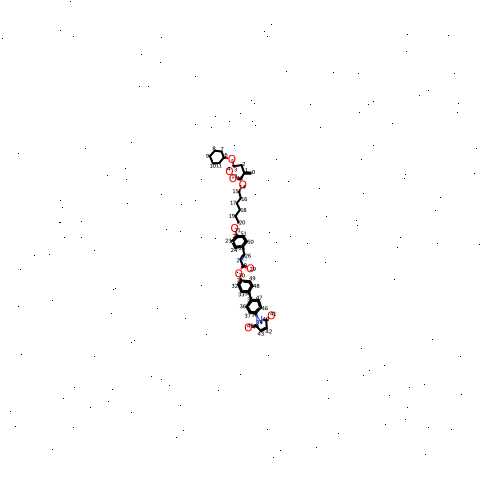 C=C(CC(=O)OC1CCCCC1)C(=O)OCCCCCCOc1ccc(/C=C/C(=O)Oc2ccc(-c3ccc(N4C(=O)C=CC4=O)cc3)cc2)cc1